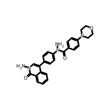 NN(C(=O)c1ccc(N2CCOCC2)cc1)c1ccc(-c2cn(N)c(=O)c3ccccc23)cc1